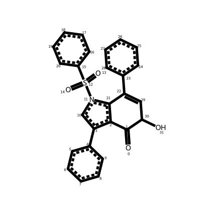 O=C1c2c(-c3ccccc3)cn(S(=O)(=O)c3ccccc3)c2C(c2ccccc2)=CC1O